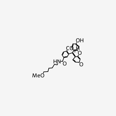 COCCCCCCNC(=O)c1ccc(C(=O)O)c(-c2c3ccc(=O)cc-3oc3cc(O)ccc23)c1